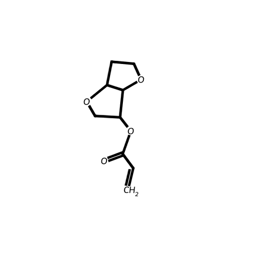 C=CC(=O)OC1COC2CCOC21